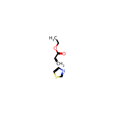 C=CC(=O)OCC.c1cscn1